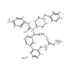 CC(c1cccc(-c2ccccc2CNC(=O)CN)c1)N(C(=O)Cc1ccc(Cl)cc1)C1CCN(Cc2ccccc2)CC1.Cl.Cl